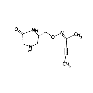 CC#C/C(C)=N\OC[C@@H]1CNCC(=O)N1